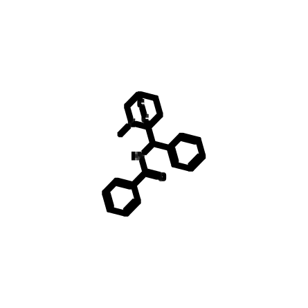 CN1CC2CCC1(C(NC(=O)c1ccccc1)c1ccccc1)CC2